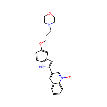 [O-][n+]1cc(-c2cc3cc(OCCCN4CCOCC4)ccc3[nH]2)cc2ccccc21